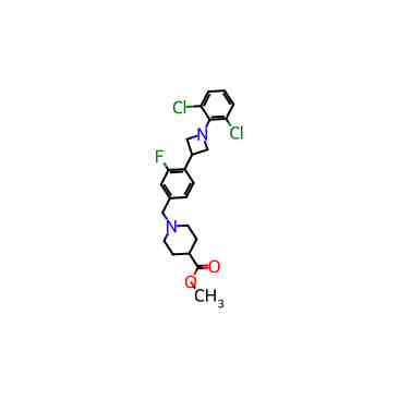 COC(=O)C1CCN(Cc2ccc(C3CN(c4c(Cl)cccc4Cl)C3)c(F)c2)CC1